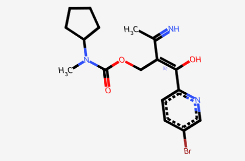 CC(=N)/C(COC(=O)N(C)C1CCCC1)=C(\O)c1ccc(Br)cn1